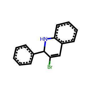 BrC1=Cc2ccccc2NC1c1ccccc1